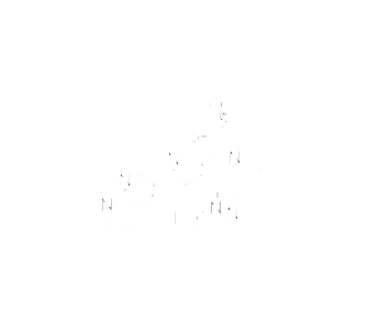 Cn1nccc1-c1cc(-c2cnc3ncccc3c2)nc2sc([S@+]([O-])C3CCC3)c(N)c12